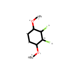 CCCCOC1CCC(OCCC)C(F)C1F